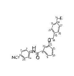 N#Cc1ccc(NC(=O)c2cccc(OCc3ccc(CF)cc3)c2)cc1